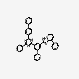 c1ccc(-c2ccc(-c3nc(-c4ccccc4)nc(-c4cc(-c5ccccn5)cc(-c5nc6c(-c7ccccc7)cccn6n5)c4)n3)cc2)cc1